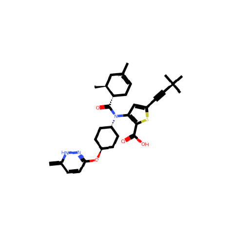 C=C1C=CC(O[C@H]2CC[C@H](N(C(=O)[C@H]3CC=C(C)C[C@@H]3C)c3cc(C#CC(C)(C)C)sc3C(=O)O)CC2)=NN1